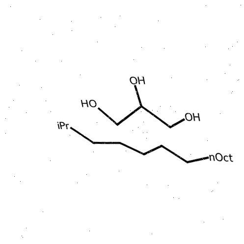 CCCCCCCCCCCCCC(C)C.OCC(O)CO